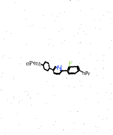 CCCCCC1CCC(c2ccc(-c3ccc(CCC)cc3F)nc2)CC1